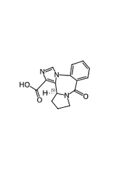 O=C(O)c1ncn2c1[C@@H]1CCCN1C(=O)c1ccccc1-2